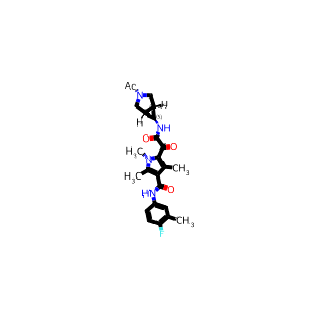 CC(=O)N1C[C@@H]2[C@H](C1)[C@H]2NC(=O)C(=O)c1c(C)c(C(=O)Nc2ccc(F)c(C)c2)c(C)n1C